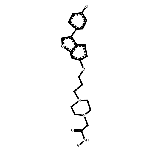 CC(C)NC(=O)CN1CCN(CCCOc2ccc3c(-c4ccc(Cl)cc4)coc3c2)CC1